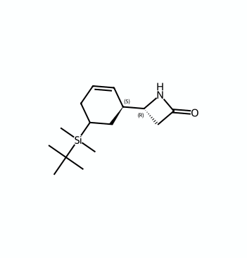 CC(C)(C)[Si](C)(C)C1CC=C[C@@H]([C@H]2CC(=O)N2)C1